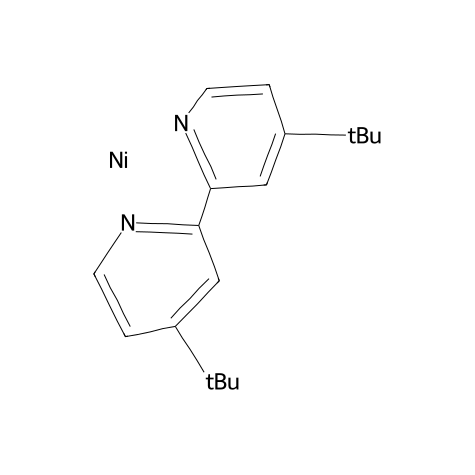 CC(C)(C)c1ccnc(-c2cc(C(C)(C)C)ccn2)c1.[Ni]